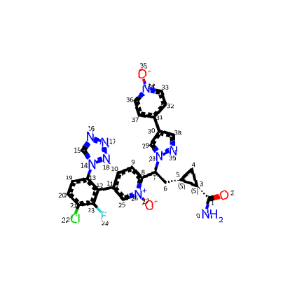 NC(=O)[C@H]1C[C@H]1CC(c1ccc(-c2c(-n3cnnn3)ccc(Cl)c2F)c[n+]1[O-])n1cc(-c2cc[n+]([O-])cc2)cn1